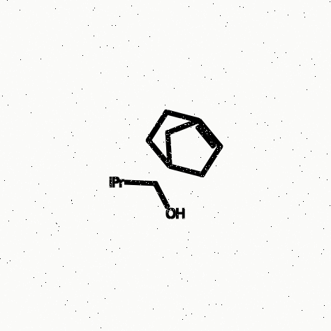 C1=C2CCC(C1)C2.CC(C)CO